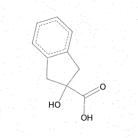 O=C(O)C1(O)Cc2ccccc2C1